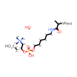 CCCCCC(C)C(=O)NCCCCCCOP(=O)(O)O[C@H](CC(=O)O)C[N+](C)(C)C.[OH-]